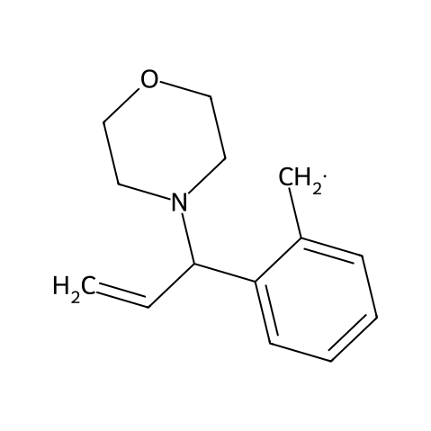 [CH2]c1ccccc1C(C=C)N1CCOCC1